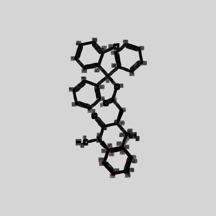 CN(C(=O)[C@@H](CC(=O)OC(c1ccccc1)(c1ccccc1)c1ccccc1Cl)Cc1ccccc1)[C@@H]1CCOC[C@H]1N